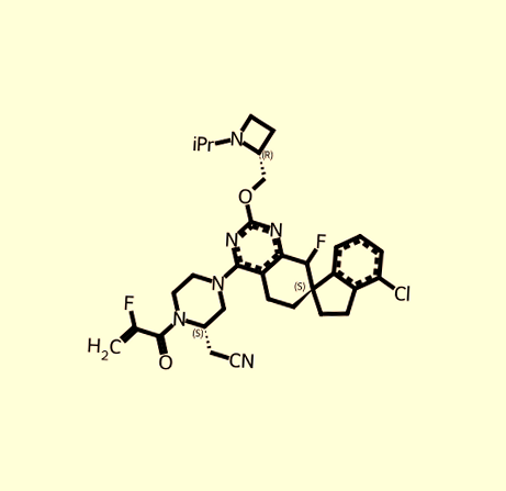 C=C(F)C(=O)N1CCN(c2nc(OC[C@H]3CCN3C(C)C)nc3c2CC[C@@]2(CCc4c(Cl)cccc42)C3F)C[C@@H]1CC#N